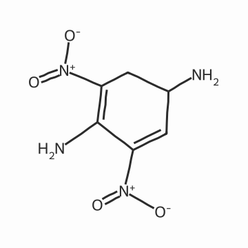 NC1=C([N+](=O)[O-])CC(N)C=C1[N+](=O)[O-]